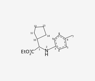 CCOC(=O)C(Nc1ccc(C)cc1)C1CCCC1